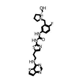 O=C(Nc1ccc(F)c(CN2CCC[C@@H]2CO)c1)Nc1ncc(CCNc2ncnc3ccsc23)s1